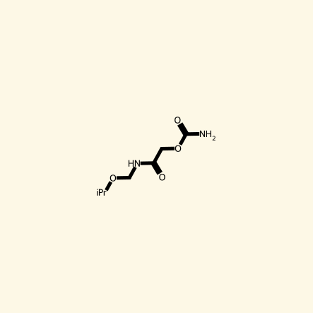 CC(C)OCNC(=O)COC(N)=O